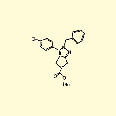 CC(C)(C)OC(=O)N1Cc2nn(Cc3ccccc3)c(-c3ccc(Cl)cc3)c2C1